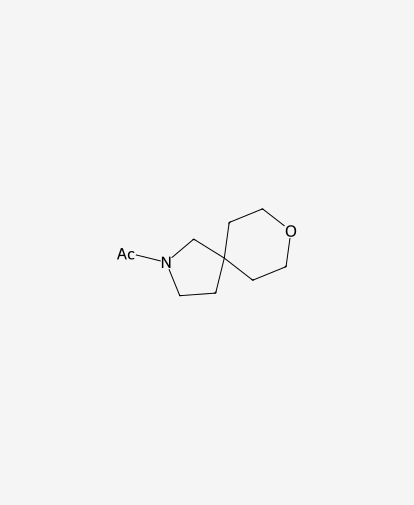 [CH2]C(=O)N1CCC2(CCOCC2)C1